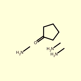 CN.CN.CN.O=C1CCCC1